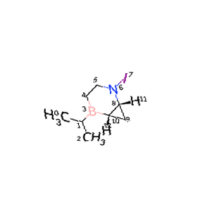 CC(C)B1CCN(I)[C@@H]2C[C@H]12